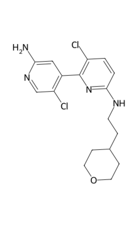 Nc1cc(-c2nc(NCCC3CCOCC3)ccc2Cl)c(Cl)cn1